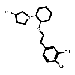 Oc1ccc(CCO[C@@H]2CCCC[C@H]2N2CC[C@@H](O)C2)cc1O